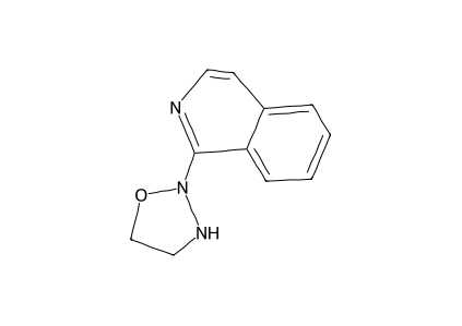 c1ccc2c(N3NCCO3)nccc2c1